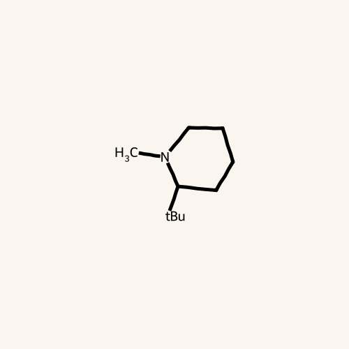 CN1CCCCC1C(C)(C)C